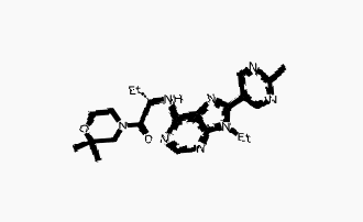 CC[C@H](Nc1ncnc2c1nc(-c1cnc(C)nc1)n2CC)C(=O)N1CCOC(C)(C)C1